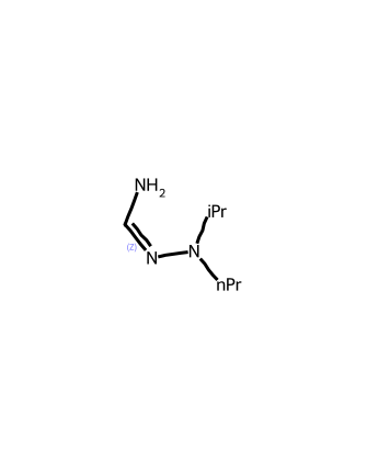 CCCN(/N=C\N)C(C)C